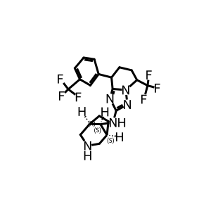 FC(F)(F)c1cccc(C2CCC(C(F)(F)F)n3nc(N[C@@H]4[C@@H]5CC[C@H]4CNC5)nc32)c1